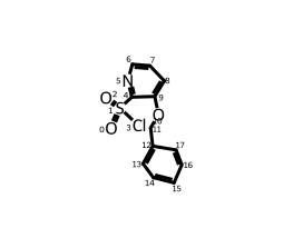 O=S(=O)(Cl)c1ncccc1OCc1ccccc1